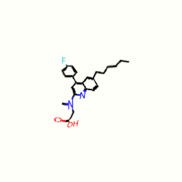 CCCCCCc1ccc2nc(N(C)CC(=O)O)cc(-c3ccc(F)cc3)c2c1